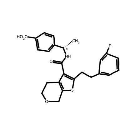 C[C@H](NC(=O)c1c(CCc2cccc(F)c2)sc2c1CCOC2)c1ccc(C(=O)O)cc1